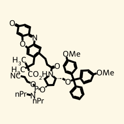 CCCN(CCC)P(OCCC#N)O[C@@H]1C[C@@H](COC(c2ccccc2)(c2ccc(OC)cc2)c2ccc(OC)cc2)N(C(=O)CCc2cc3nc4ccc(=O)cc-4oc3cc2CC(C)(C)C(=O)O)C1